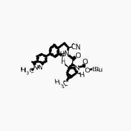 CC1C2C1[C@@H]1C[C@H]2[C@@H](C(=O)N[C@H](C#N)Cc2ccc(-c3ccc4cn(C)nc4c3)cc2F)N1C(=O)OC(C)(C)C